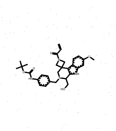 C=CC(=O)N1CC2(C1)CN(Cc1ccc(NC(=O)OC(C)(C)C)cc1)C(CO)c1[nH]c3cc(OC)ccc3c12